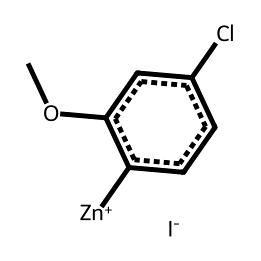 COc1cc(Cl)cc[c]1[Zn+].[I-]